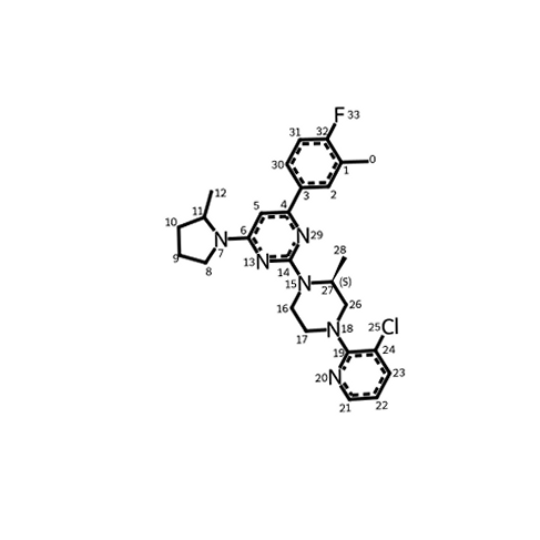 Cc1cc(-c2cc(N3CCCC3C)nc(N3CCN(c4ncccc4Cl)C[C@@H]3C)n2)ccc1F